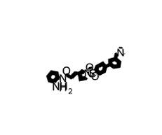 CN(C)Cc1cccc(-c2ccc(S(=O)(=O)n3ccc(/C=C/C(=O)Nc4ccccc4N)c3)cc2)c1